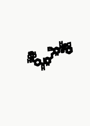 CCc1cc(NS(=O)(=O)c2ccccc2Cl)cnc1CCc1cnc(N[C@H]2CC[C@H](NC(=O)OC(C)(C)C)CC2)nc1